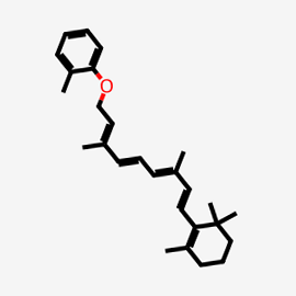 CC(C=CC1=C(C)CCCC1(C)C)=CC=CC(C)=CCOc1ccccc1C